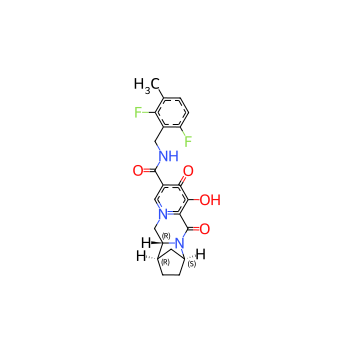 Cc1ccc(F)c(CNC(=O)c2cn3c(c(O)c2=O)C(=O)N2[C@H]4CC[C@H](C4)[C@@H]2C3)c1F